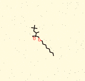 CCCCCCCCOCC1(C(C)CC(C)(C)C)CO1